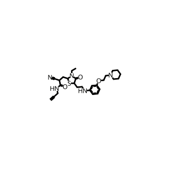 C#CCNC(=O)C(C#N)CC1SC(CCNc2cccc(OCCN3CCCCC3)c2)C(=O)N1CC